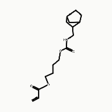 C=CC(=O)OCCCCOC(=O)NCC1CC2CCC1C2